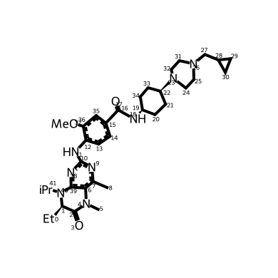 CC[C@@H]1C(=O)N(C)c2c(C)nc(Nc3ccc(C(=O)N[C@H]4CC[C@H](N5CCN(CC6CC6)CC5)CC4)cc3OC)nc2N1C(C)C